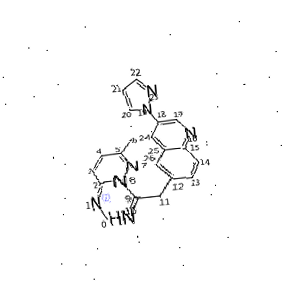 C/N=c1/ccc(C)nn1C(=N)Cc1ccc2ncc(-n3cccn3)cc2c1